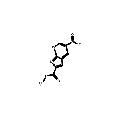 CNC(=O)c1cc2cc([N+](=O)[O-])c[nH]c-2n1